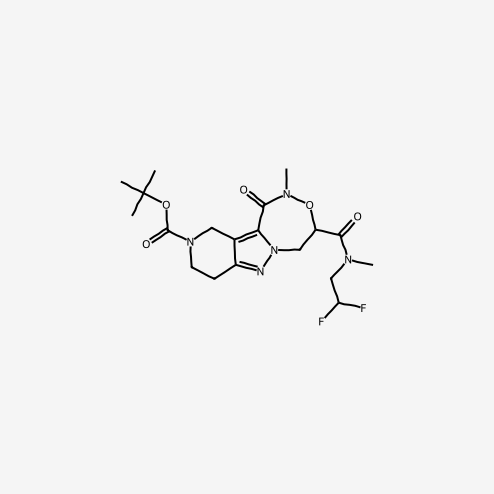 CN(CC(F)F)C(=O)C1Cn2nc3c(c2C(=O)N(C)O1)CN(C(=O)OC(C)(C)C)CC3